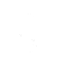 CC(C)(C)OC(=O)Nc1ccnc(CCCCC(=O)O)c1